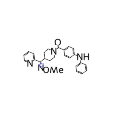 CO/N=C(/c1ccccn1)C1CCN(C(=O)c2ccc(Nc3ccccc3)cc2)CC1